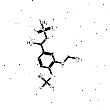 [2H]C([2H])([2H])Oc1ccc(C(N)CS(C)(=O)=O)cc1OCC